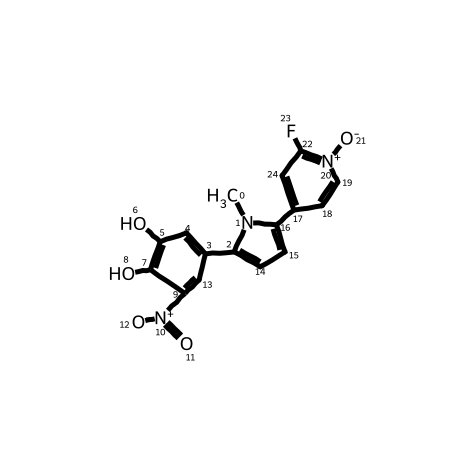 Cn1c(-c2cc(O)c(O)c([N+](=O)[O-])c2)ccc1-c1cc[n+]([O-])c(F)c1